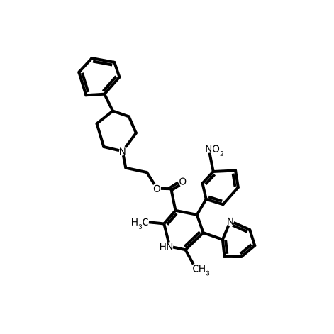 CC1=C(C(=O)OCCN2CCC(c3ccccc3)CC2)C(c2cccc([N+](=O)[O-])c2)C(c2ccccn2)=C(C)N1